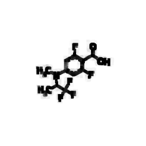 CC(N(C)c1cc(F)c(C(=O)O)c(F)c1)C(F)(F)F